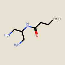 NCC(CN)NC(=O)CCC(=O)O